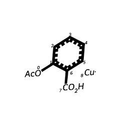 CC(=O)Oc1ccccc1C(=O)O.[Cu]